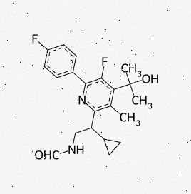 Cc1c(C(CNC=O)C2CC2)nc(-c2ccc(F)cc2)c(F)c1C(C)(C)O